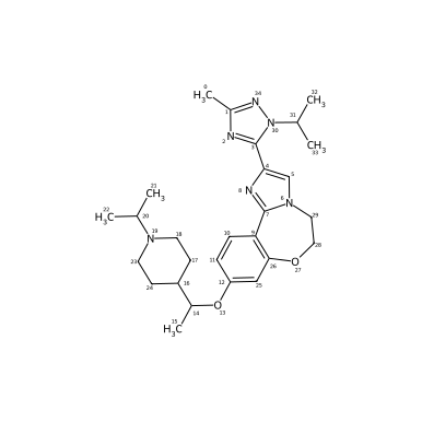 Cc1nc(-c2cn3c(n2)-c2ccc(OC(C)C4CCN(C(C)C)CC4)cc2OCC3)n(C(C)C)n1